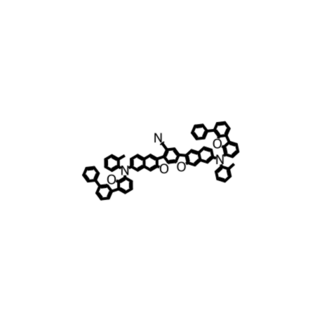 Cc1ccccc1N(c1ccc2cc3c(cc2c1)oc1c3cc(C#N)c2c3cc4ccc(N(c5ccccc5C)c5cccc6c5oc5c(-c7ccccc7)cccc56)cc4cc3oc12)c1cccc2c1oc1c(-c3ccccc3)cccc12